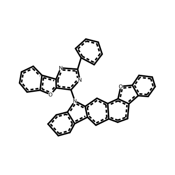 c1ccc(-c2nc(-n3c4ccccc4c4cc5ccc6c7ccccc7oc6c5cc43)c3oc4ccccc4c3n2)cc1